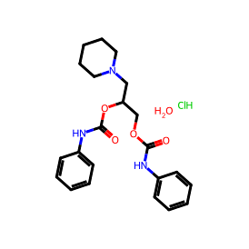 Cl.O.O=C(Nc1ccccc1)OCC(CN1CCCCC1)OC(=O)Nc1ccccc1